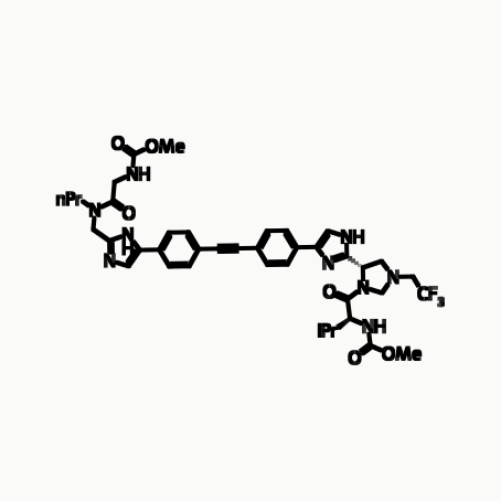 CCCN(Cc1ncc(-c2ccc(C#Cc3ccc(-c4c[nH]c([C@@H]5CN(CC(F)(F)F)CN5C(=O)[C@@H](NC(=O)OC)C(C)C)n4)cc3)cc2)[nH]1)C(=O)CNC(=O)OC